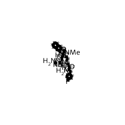 CCC(NC(=N)N)[C@@H]1N[C@@H](CNC(=O)[C@H](N)Cc2ccc(F)cc2)CCN([C@@H](Cc2ccc3ccccc3c2)C(=O)NC)C1=O